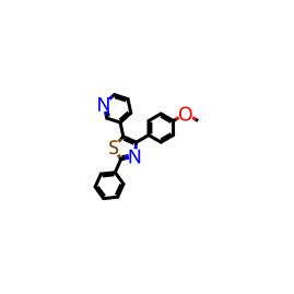 COc1ccc(-c2nc(-c3ccccc3)sc2-c2cccnc2)cc1